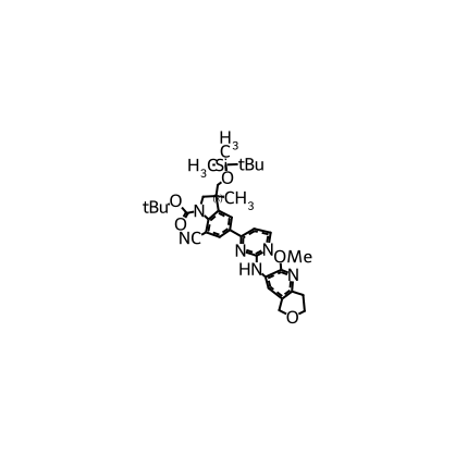 COc1nc2c(cc1Nc1nccc(-c3cc(C#N)c4c(c3)[C@@](C)(CO[Si](C)(C)C(C)(C)C)CN4C(=O)OC(C)(C)C)n1)COCC2